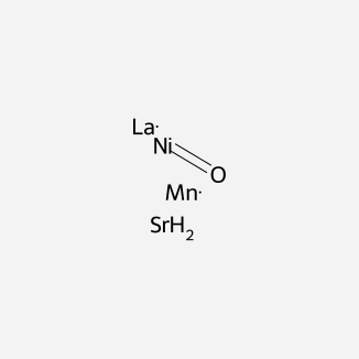 [La].[Mn].[O]=[Ni].[SrH2]